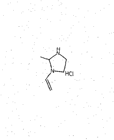 C=CN1CCNC1C.Cl